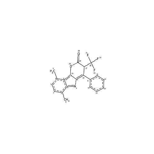 Cc1ccc(C)c2c1=NC1=C(c3ccccc3)C(C(F)(F)F)C(=O)OC=21